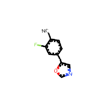 N#Cc1ccc(-c2cnco2)cc1F